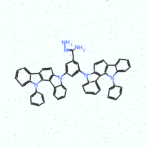 N/N=C(\N)c1cc(-n2c3ccccc3c3c2ccc2c4ccccc4n(-c4ccccc4)c23)cc(-n2c3ccccc3c3c2ccc2c4ccccc4n(-c4ccccc4)c23)c1